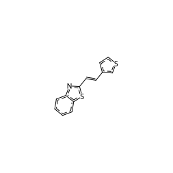 C(=Cc1nc2ccccc2s1)c1ccsc1